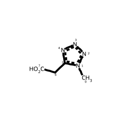 Cn1nnnc1CC(=O)O